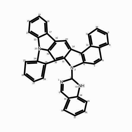 C1=NC(n2c3ccc4ccccc4c3c3cc4c5ccccc5n5c6ccccc6c(c32)c45)Nc2ccccc21